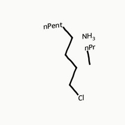 CCCC.CCCCCCCCCCl.N